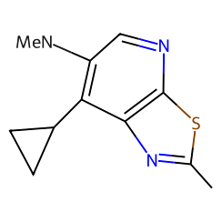 CNc1cnc2sc(C)nc2c1C1CC1